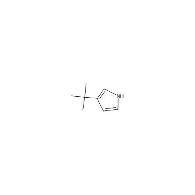 CC(C)(C)c1c[c][nH]c1